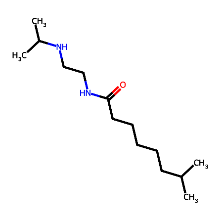 CC(C)CCCCCC(=O)NCCNC(C)C